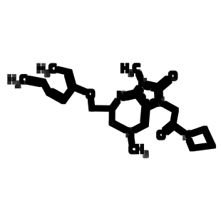 C=C/C=C\C(=C/C)OCC1CN(C)C=c2c(n(C)c(=O)n2CC(=O)N2CCC2)=N1